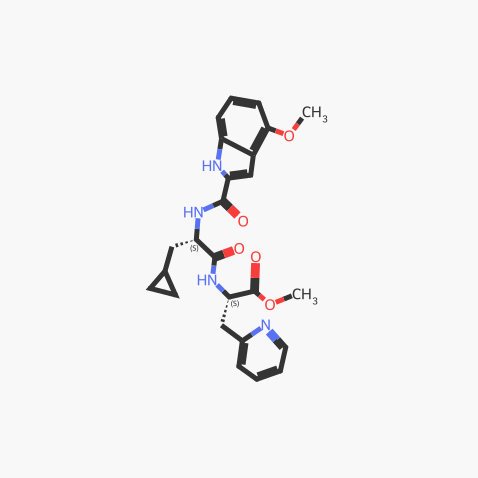 COC(=O)[C@H](Cc1ccccn1)NC(=O)[C@H](CC1CC1)NC(=O)c1cc2c(OC)cccc2[nH]1